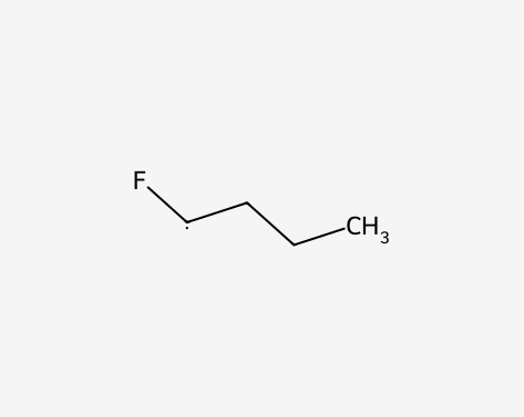 CCC[CH]F